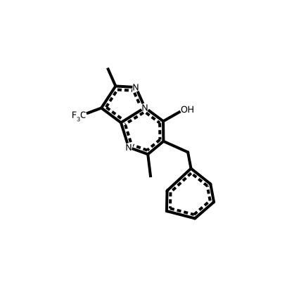 Cc1nc2c(C(F)(F)F)c(C)nn2c(O)c1Cc1ccccc1